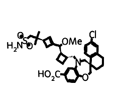 COC(C1=C[C@H](C(C)(C)CS(N)(=O)=O)C1)[C@@H]1CC[C@H]1CN1C[C@@]2(CCCc3cc(Cl)ccc32)COc2ccc(C(=O)O)cc21